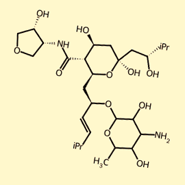 CC(C)/C=C/[C@@H](C[C@@H]1O[C@](O)(C[C@@H](O)C(C)C)C[C@H](O)[C@H]1C(=O)N[C@@H]1COC[C@@H]1O)OC1OC(C)C(O)C(N)C1O